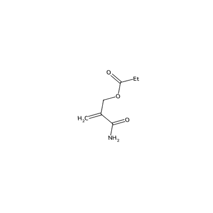 C=C(COC(=O)CC)C(N)=O